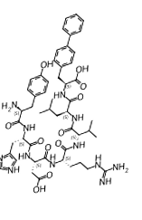 CC(C)C[C@H](NC(=O)[C@@H](NC(=O)[C@H](CCCNC(=N)N)NC(=O)[C@H](CC(=O)O)NC(=O)[C@H](Cc1c[nH]cn1)NC(=O)[C@@H](N)Cc1ccc(O)cc1)C(C)C)C(=O)N[C@@H](Cc1ccc(-c2ccccc2)cc1)C(=O)O